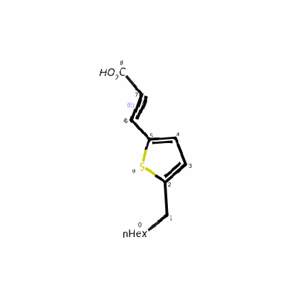 CCCCCCCc1ccc(/C=C/C(=O)O)s1